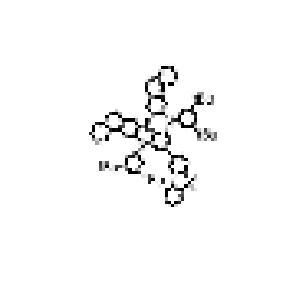 CC(C)(C)c1cc(N2c3cc4c(ccc5ccccc54)cc3B3c4cc5ccc6ccccc6c5cc4N(c4cc(C(C)(C)C)cc(C(C)(C)C)c4)c4cc(-c5ccc6c(c5)-c5ccccc5C6(C)C)cc2c43)cc(C(C)(C)C)c1